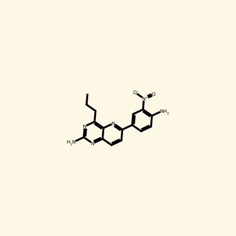 CCCc1nc(N)nc2ccc(-c3ccc(N)c([N+](=O)[O-])c3)nc12